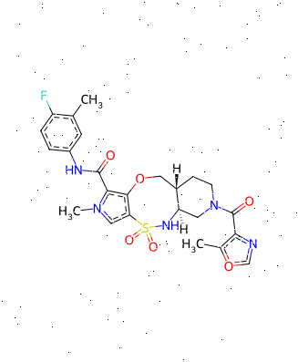 Cc1cc(NC(=O)c2c3c(cn2C)S(=O)(=O)N[C@@H]2CN(C(=O)c4ncoc4C)CC[C@H]2CO3)ccc1F